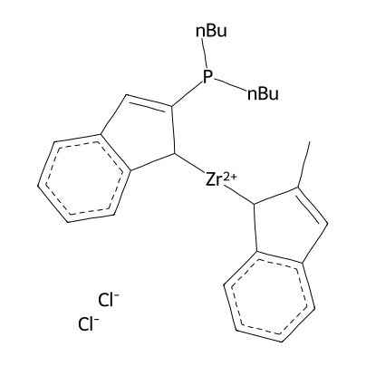 CCCCP(CCCC)C1=Cc2ccccc2[CH]1[Zr+2][CH]1C(C)=Cc2ccccc21.[Cl-].[Cl-]